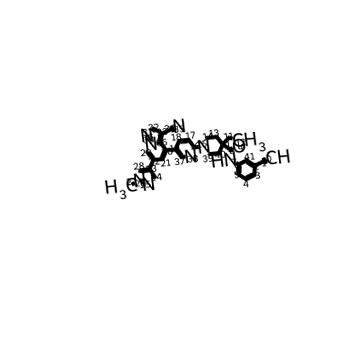 C#Cc1cccc(NC(=O)C2(CC)CCN(c3ccc(-c4cc(-c5cnn(C)c5)cn5ncc(C#N)c45)cn3)CC2)c1